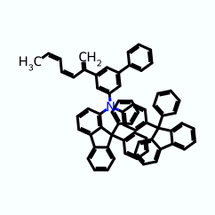 C=C(/C=C\C=C/C)c1cc(-c2ccccc2)cc(N(c2ccc(C3(c4ccccc4)c4ccccc4-c4ccccc43)cc2)c2cccc3c2C(c2ccccc2)(c2ccccc2)c2ccccc2-3)c1